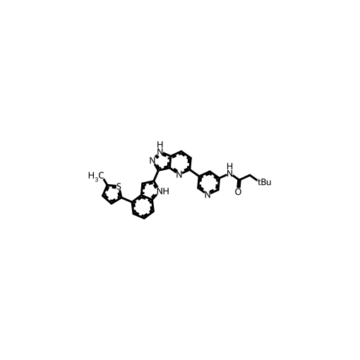 Cc1ccc(-c2cccc3[nH]c(-c4n[nH]c5ccc(-c6cncc(NC(=O)CC(C)(C)C)c6)nc45)cc23)s1